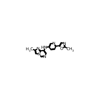 Cc1cn2cncc(Nc3ccc(-c4cnc(C)o4)nc3)c2n1